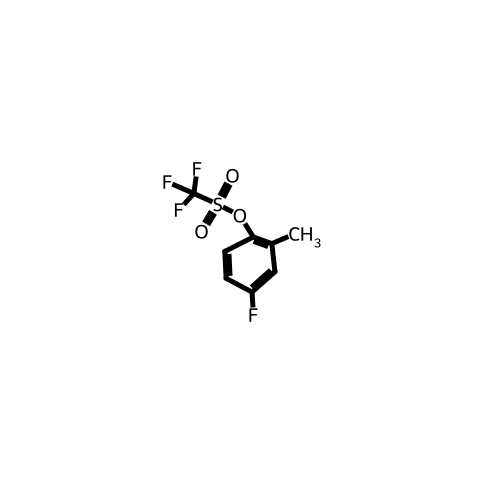 Cc1cc(F)ccc1OS(=O)(=O)C(F)(F)F